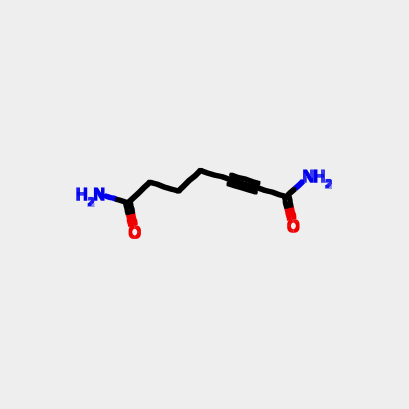 NC(=O)C#CCCCC(N)=O